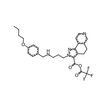 CCCCOc1ccc(CNCCCn2nc3c(c2C(=O)OC(=O)C(F)(F)F)CCc2cnccc2-3)cc1